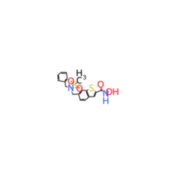 CS(=O)(=O)N(Cc1ccccc1)Cc1ccc2cc(C(=O)NO)sc2c1